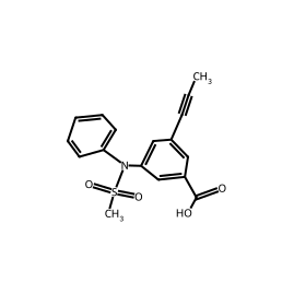 CC#Cc1cc(C(=O)O)cc(N(c2ccccc2)S(C)(=O)=O)c1